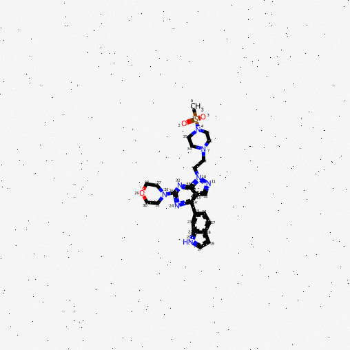 CS(=O)(=O)N1CCN(CCn2ncc3c(-c4ccc5cc[nH]c5c4)nc(N4CCOCC4)nc32)CC1